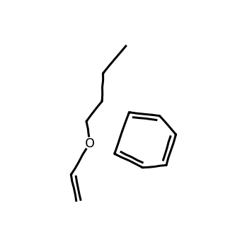 C=COCCCC.c1ccccc1